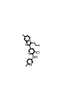 Cc1ccn2c(CCI)c(-c3cnc(Nc4ccc(C)nc4)c(Cl)c3)nc2c1